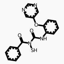 O=C(Nc1ccccc1Oc1cncnc1)N(S)C(=O)c1ccccc1